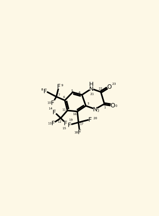 O=C1[N]c2c(cc(C(F)(F)F)c(C(F)(F)F)c2C(F)(F)F)NC1=O